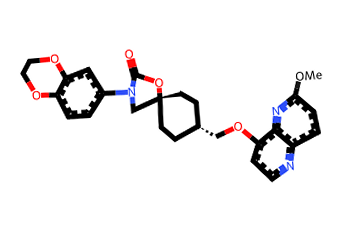 COc1ccc2nccc(OC[C@H]3CC[C@@]4(CC3)CN(c3ccc5c(c3)OCCO5)C(=O)O4)c2n1